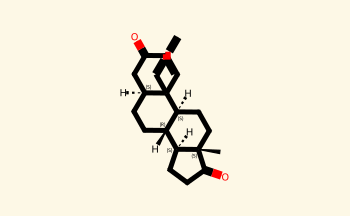 C=C=CC12C=CC(=O)C[C@@H]1CC[C@@H]1[C@@H]2CC[C@]2(C)C(=O)CC[C@@H]12